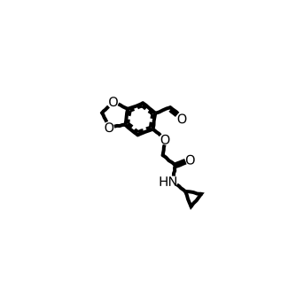 O=Cc1cc2c(cc1OCC(=O)NC1CC1)OCO2